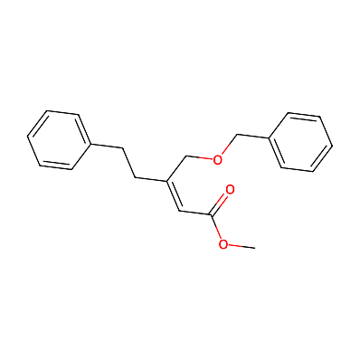 COC(=O)/C=C(/CCc1ccccc1)COCc1ccccc1